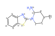 CCC1CCN(c2nc3ccccc3s2)C(N)C1